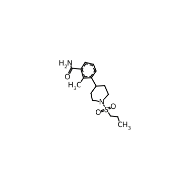 CCCS(=O)(=O)N1CCC(c2cccc(C(N)=O)c2C)CC1